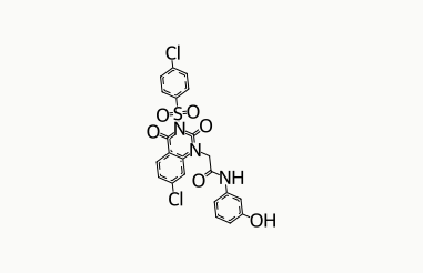 O=C(Cn1c(=O)n(S(=O)(=O)c2ccc(Cl)cc2)c(=O)c2ccc(Cl)cc21)Nc1cccc(O)c1